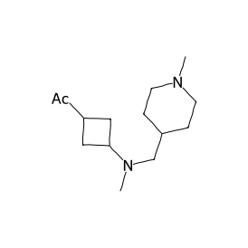 CC(=O)C1CC(N(C)CC2CCN(C)CC2)C1